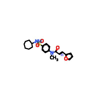 CN(C(=O)/C=C/c1ccco1)c1ccc(S(=O)(=O)NC2CCCCCC2)cc1